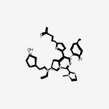 C=CN(CCC1CC[C@H](O)C1)[C@H]1CC2=C(C3=NC(CCC(C)F)C=C3)[C@H](c3ccc(C)cc3Cl)N=C(C3SC=CN3C)N2C1